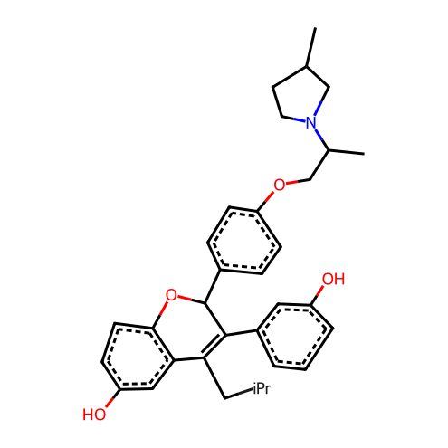 CC(C)CC1=C(c2cccc(O)c2)C(c2ccc(OCC(C)N3CCC(C)C3)cc2)Oc2ccc(O)cc21